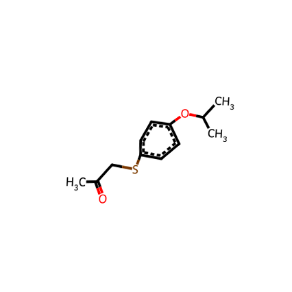 CC(=O)CSc1ccc(OC(C)C)cc1